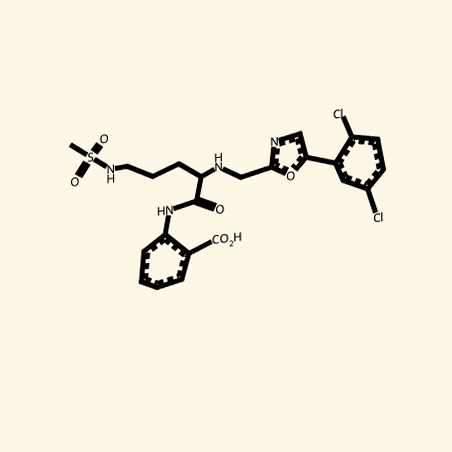 CS(=O)(=O)NCCCC(NCc1ncc(-c2cc(Cl)ccc2Cl)o1)C(=O)Nc1ccccc1C(=O)O